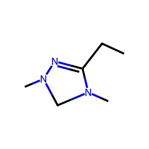 CCC1=NN(C)CN1C